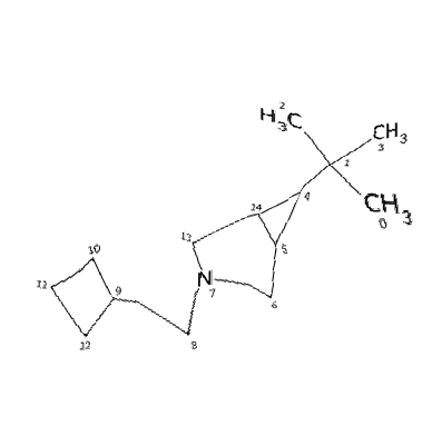 CC(C)(C)C1C2CN(CC3CCC3)CC21